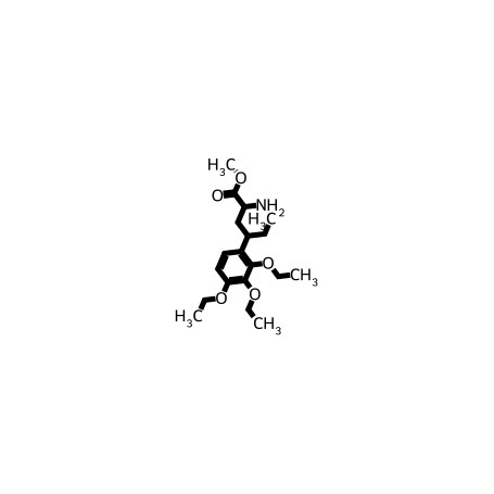 CCOc1ccc(C(CC)CC(N)C(=O)OC)c(OCC)c1OCC